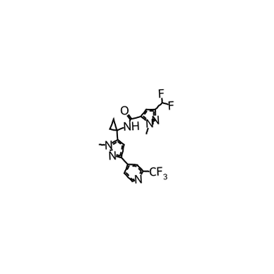 Cn1nc(C(F)F)cc1C(=O)NC1(c2cc(-c3ccnc(C(F)(F)F)c3)nn2C)CC1